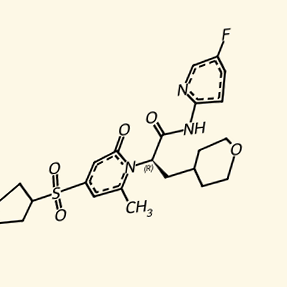 Cc1cc(S(=O)(=O)C2CCCC2)cc(=O)n1[C@H](CC1CCOCC1)C(=O)Nc1ccc(F)cn1